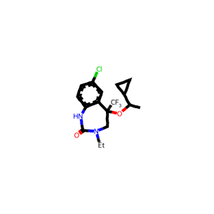 CCN1CC(OC(C)C2CC2)(C(F)(F)F)c2cc(Cl)ccc2NC1=O